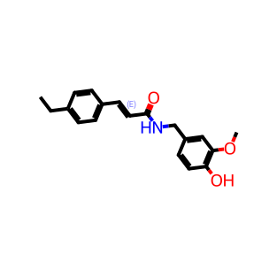 CCc1ccc(/C=C/C(=O)NCc2ccc(O)c(OC)c2)cc1